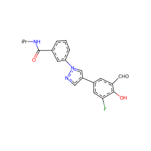 CC(C)NC(=O)c1cccc(-n2cc(-c3cc(F)c(O)c(C=O)c3)cn2)c1